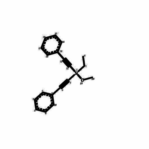 CC[Si](C#Cc1ccccc1)(C#Cc1ccccc1)OC